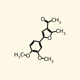 COc1ccc(-c2cc(C(C)=O)c(C)o2)cc1OC